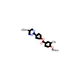 CCCCCCCCCCc1cnc(-c2ccc(OC(=O)c3ccc(OCCCCCC)c(C#N)c3)cc2)nc1